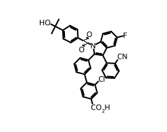 CC(C)(O)c1ccc(S(=O)(=O)n2c(-c3cccc(-c4ccc(C(=O)O)cc4Cl)c3)c(-c3ccccc3C#N)c3cc(F)ccc32)cc1